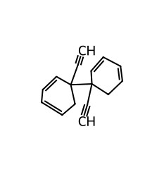 C#CC1(C2(C#C)C=CC=CC2)C=CC=CC1